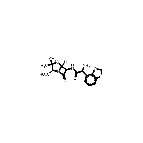 CC1(C)S[C@@H]2C(NC(=O)C(N)c3cccc4c3OCO4)C(=O)N2[C@H]1C(=O)O